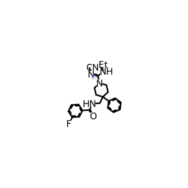 CCN/C(=N\C#N)N1CCC(CNC(=O)c2cccc(F)c2)(c2ccccc2)CC1